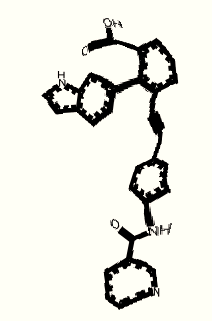 O=C(Nc1ccc(C#Cc2cccc(C(=O)O)c2-c2ccc3cc[nH]c3c2)cc1)c1cccnc1